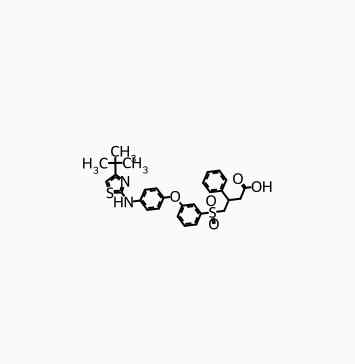 CC(C)(C)c1csc(Nc2ccc(Oc3cccc(S(=O)(=O)CC(CC(=O)O)c4ccccc4)c3)cc2)n1